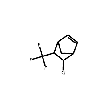 FC(F)(F)C1C2C=CC(C2)C1Cl